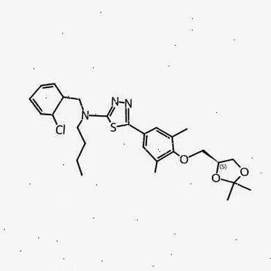 CCCCN(CC1C=CC=CC1Cl)c1nnc(-c2cc(C)c(OC[C@H]3COC(C)(C)O3)c(C)c2)s1